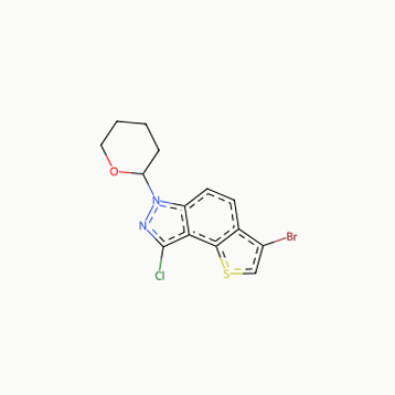 Clc1nn(C2CCCCO2)c2ccc3c(Br)csc3c12